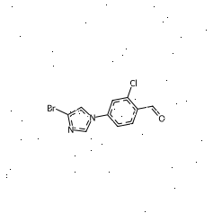 O=Cc1ccc(-n2cnc(Br)c2)cc1Cl